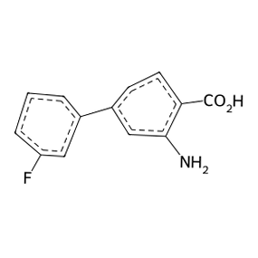 Nc1cc(-c2cccc(F)c2)ccc1C(=O)O